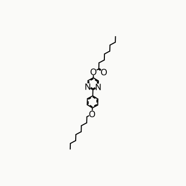 CCCCCCCCOc1ccc(-c2ncc(OC(=O)CCCCCCC)cn2)cc1